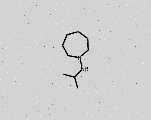 CC(C)NN1CCCCCC1